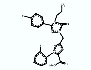 COC(=O)c1nc(Cn2nc(-c3ccc(Cl)cc3)n(CCC(F)(F)F)c2=O)nn1-c1ccccc1F